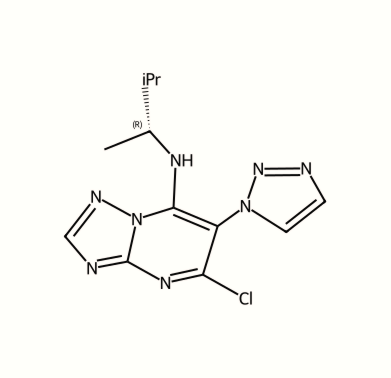 CC(C)[C@@H](C)Nc1c(-n2ccnn2)c(Cl)nc2ncnn12